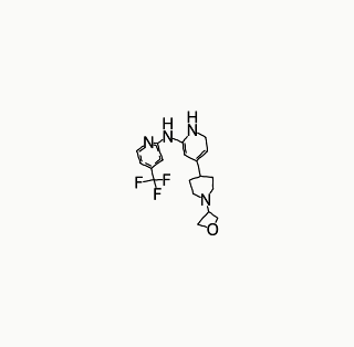 FC(F)(F)c1ccnc(NC2=CC(C3CCN(C4COC4)CC3)=CCN2)c1